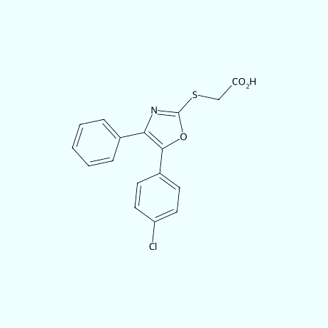 O=C(O)CSc1nc(-c2ccccc2)c(-c2ccc(Cl)cc2)o1